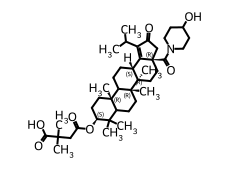 CC(C)C1=C2[C@H]3CCC4[C@@]5(C)CC[C@H](OC(=O)CC(C)(C)C(=O)O)C(C)(C)C5CC[C@@]4(C)[C@]3(C)CC[C@@]2(C(=O)N2CCC(O)CC2)CC1=O